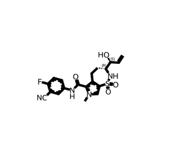 C=C[C@H](O)[C@H]1CCc2c(cn(C)c2C(=O)Nc2ccc(F)c(C#N)c2)S(=O)(=O)N1